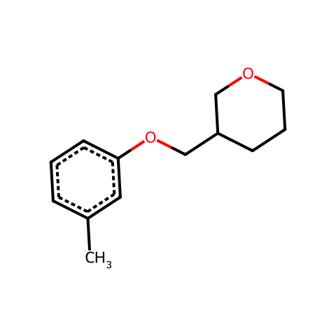 Cc1cccc(OCC2CCCOC2)c1